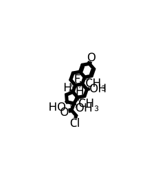 C[C@]12C=CC(=O)C=C1CC[C@H]1[C@@H]3CC(O)[C@](O)(C(=O)CCl)[C@@]3(C)CC(O)[C@@]12F